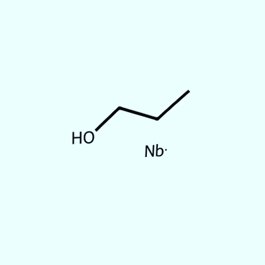 CCCO.[Nb]